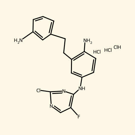 Cl.Cl.Cl.Nc1cccc(CCc2cc(Nc3nc(Cl)ncc3F)ccc2N)c1